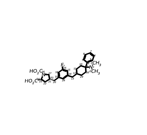 CN(C)C1(c2ccccc2)CCC(Cc2cc(F)cc(C[C@H]3C[C@@H](C(=O)O)N(C(=O)O)C3)c2)CC1